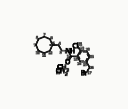 O=C(NCC[C]1CCCCCCC1)c1cc(CBr)ccc1Cl.[CH2].[CH2]